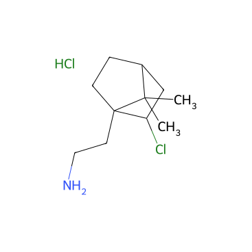 CC1(C)C2CCC1(CCN)C(Cl)C2.Cl